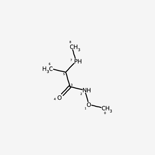 CONC(=O)C(C)PC